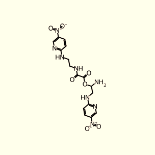 NC(CNc1ccc([N+](=O)[O-])cn1)OC(=O)C(=O)NCCNc1ccc([N+](=O)[O-])cn1